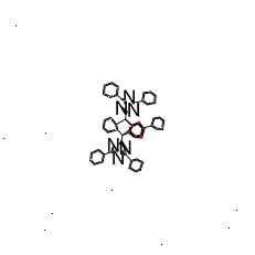 c1ccc(-c2ccc3c(c2)C2(c4nc(-c5ccccc5)nc(-c5ccccc5)n4)c4ccccc4C3(c3nc(-c4ccccc4)nc(-c4ccccc4)n3)c3ccccc32)cc1